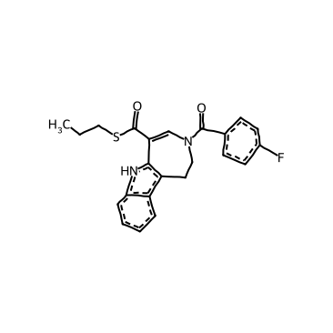 CCCSC(=O)C1=CN(C(=O)c2ccc(F)cc2)CCc2c1[nH]c1ccccc21